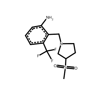 CS(=O)(=O)C1CCN(Cc2c(N)cccc2C(F)(F)F)C1